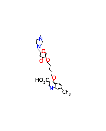 CN1CCN(Cc2cc(=O)c(OCCCCCOc3c(C(=O)O)cnc4cc(C(F)(F)F)ccc34)co2)CC1